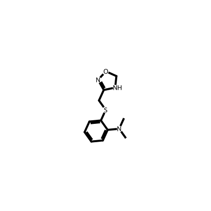 CN(C)c1ccccc1SCC1=NOCN1